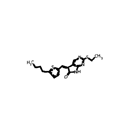 CCCCc1ccc(C=C2C(=O)Nc3nc(SCC)ncc32)s1